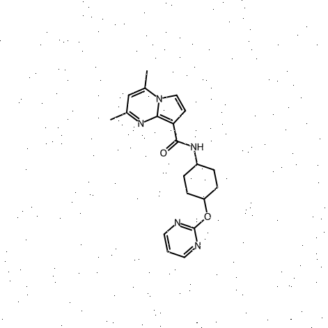 Cc1cc(C)n2ccc(C(=O)NC3CCC(Oc4ncccn4)CC3)c2n1